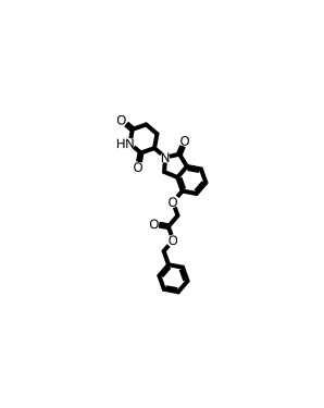 O=C1CCC(N2Cc3c(OCC(=O)OCc4ccccc4)cccc3C2=O)C(=O)N1